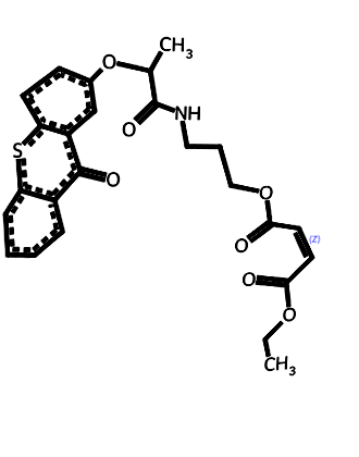 CCOC(=O)/C=C\C(=O)OCCCNC(=O)C(C)Oc1ccc2sc3ccccc3c(=O)c2c1